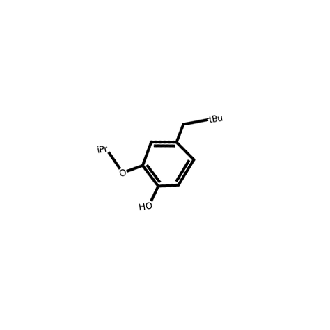 CC(C)Oc1cc(CC(C)(C)C)ccc1O